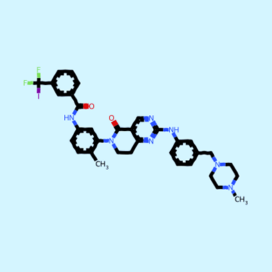 Cc1ccc(NC(=O)c2cccc(C(F)(F)I)c2)cc1N1CCc2nc(Nc3cccc(CN4CCN(C)CC4)c3)ncc2C1=O